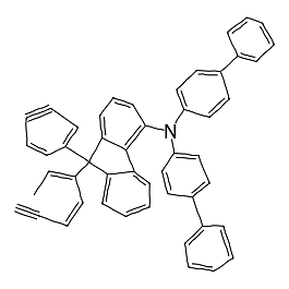 C#C/C=C\C(=C/C)C1(c2cc#ccc2)c2ccccc2-c2c(N(c3ccc(-c4ccccc4)cc3)c3ccc(-c4ccccc4)cc3)cccc21